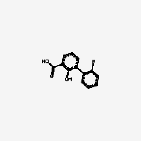 O=C(O)c1cccc(-c2ccccc2F)c1O